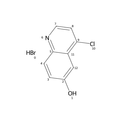 Br.Oc1ccc2nccc(Cl)c2c1